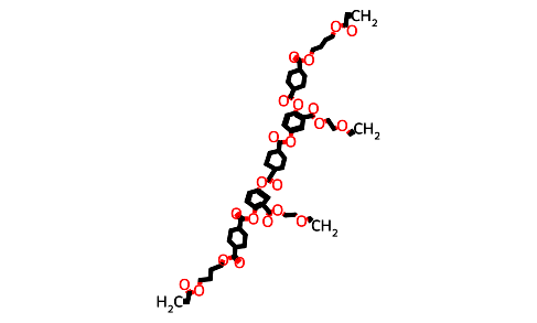 C=COCCOC(=O)c1cc(OC(=O)C2CCC(C(=O)Oc3ccc(OC(=O)C4CCC(C(=O)OCCCCOC(=O)C=C)CC4)c(C(=O)OCCOC=C)c3)CC2)ccc1OC(=O)C1CCC(C(=O)OCCCCOC(=O)C=C)CC1